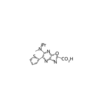 CC(C)N(C)c1nc2oc(C(=O)O)nc2nc1-c1cccs1